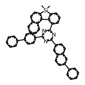 C[Si]1(C)c2cccc(-c3nc(-c4ccc(-c5ccccc5)cc4)nc(-c4ccc5cc(-c6ccccc6)ccc5c4)n3)c2-c2c1ccc1ccccc21